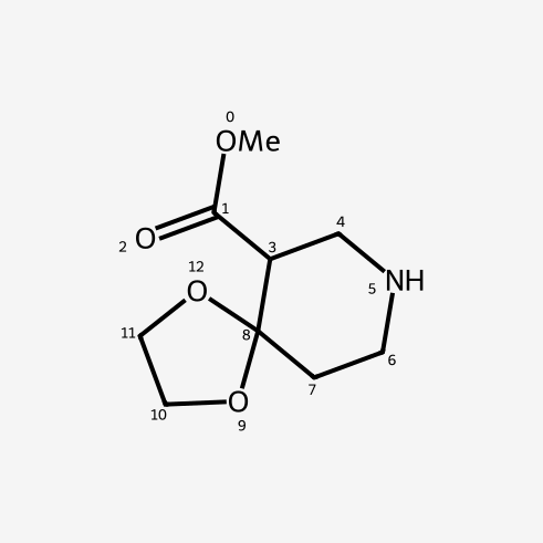 COC(=O)C1CNCCC12OCCO2